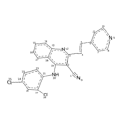 N#Cc1c(/C=C/c2ccncc2)nc2ccccc2c1Nc1ccc(Cl)cc1Cl